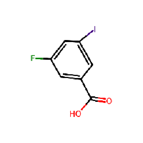 O=C(O)c1cc(F)cc(I)c1